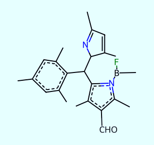 CB(F)n1c(C)c(C=O)c(C)c1C(c1c(C)cc(C)cc1C)C1N=C(C)C=C1C